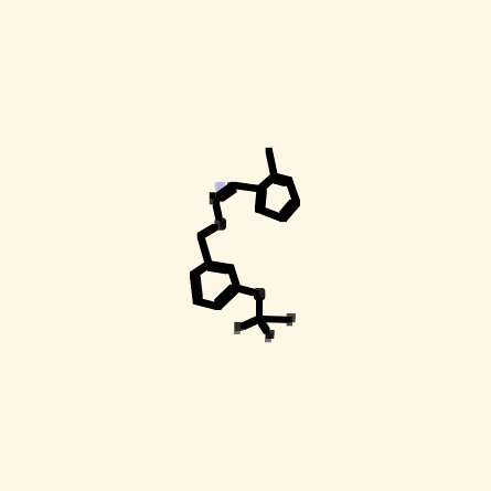 Cc1ccccc1/[C]=N\OCc1cccc(OC(F)(F)F)c1